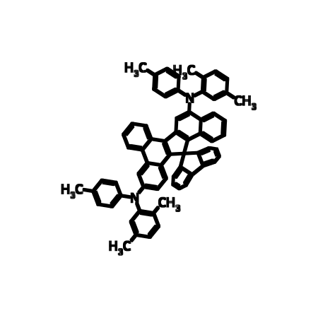 Cc1ccc(N(c2ccc3c4c(c5ccccc5c3c2)-c2cc(N(c3ccc(C)cc3)c3cc(C)ccc3C)c3ccccc3c2C42c3ccccc3-c3ccccc32)c2cc(C)ccc2C)cc1